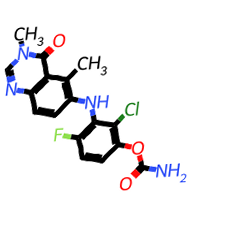 Cc1c(Nc2c(F)ccc(OC(N)=O)c2Cl)ccc2ncn(C)c(=O)c12